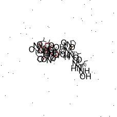 CC[C@H](C)[C@H](NNCO)C(=O)N(C)CC(=O)N[C@@H](CC(C)C)C(=O)N[C@@H](CC(=O)N[C@@H](C)C(=O)N[C@H](C(=O)N(C)[C@@H](C)C(=O)N[C@H](C(=O)N[C@@H](CC(C)C)C(=O)N[C@@H](Cc1ccccc1)C(=O)N(C)[C@@H](CC(C)C)C(=O)C1CCC[C@H]1C)[C@@H](C)O)C(C)C)C(=O)N1CCCCC1